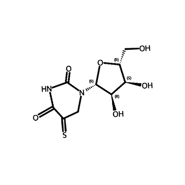 O=C1NC(=O)N([C@@H]2O[C@H](CO)[C@@H](O)[C@H]2O)CC1=S